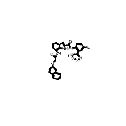 O=C(COc1ccc2ccccc2c1)Nc1cccc2cc(C(=O)Nc3ccc(Br)cc3-c3nnn[nH]3)[nH]c12